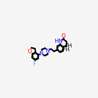 [2H]C1([2H])CC(=O)Nc2cc(CCN3CCN(c4cc(F)cc5c4CCO5)CC3)ccc21